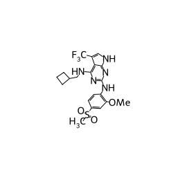 COc1cc(S(C)(=O)=O)ccc1Nc1nc(NCC2CCC2)c2c(C(F)(F)F)c[nH]c2n1